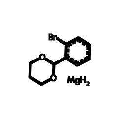 Brc1ccccc1C1OCCCO1.[MgH2]